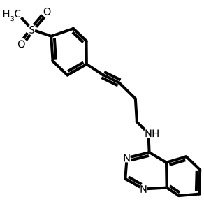 CS(=O)(=O)c1ccc(C#CCCNc2ncnc3ccccc23)cc1